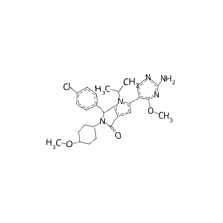 COc1nc(N)ncc1-c1cc2c(n1C(C)C)C(c1ccc(Cl)cc1)N(C1CCC(OC)CC1)C2=O